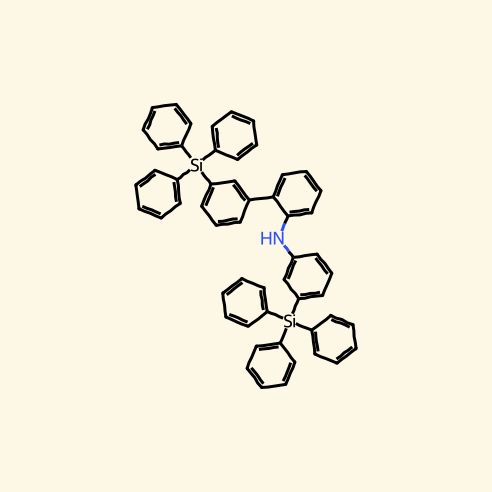 c1ccc([Si](c2ccccc2)(c2ccccc2)c2cccc(Nc3ccccc3-c3cccc([Si](c4ccccc4)(c4ccccc4)c4ccccc4)c3)c2)cc1